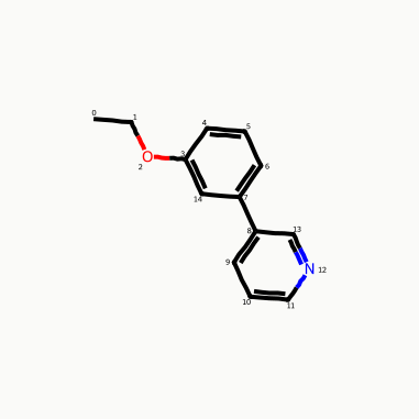 CCOc1cccc(-c2cccnc2)c1